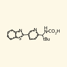 CC(C)(C)C(NC(=O)O)c1ccc(-c2nc3ccccc3s2)cn1